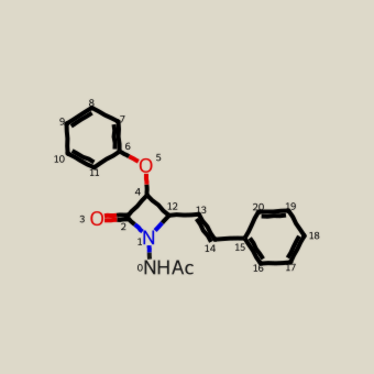 CC(=O)NN1C(=O)C(Oc2ccccc2)C1C=Cc1ccccc1